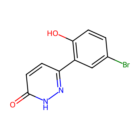 O=c1ccc(-c2cc(Br)ccc2O)n[nH]1